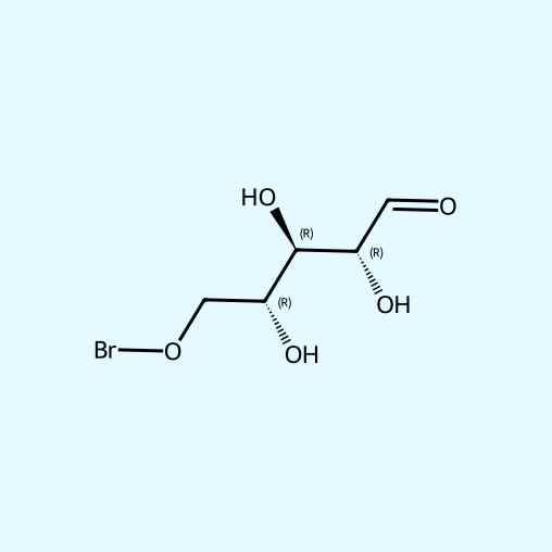 O=C[C@H](O)[C@H](O)[C@H](O)COBr